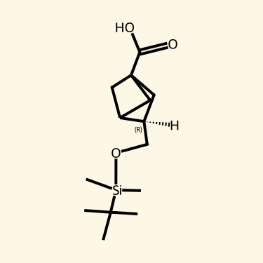 CC(C)(C)[Si](C)(C)OC[C@@H]1CC2(C(=O)O)CC1C2